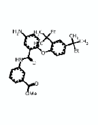 CCC(C)(C)c1ccc(Oc2ccc(N)cc2C(=O)Nc2cccc(C(=O)OC)c2)c(C(C)(C)CC)c1